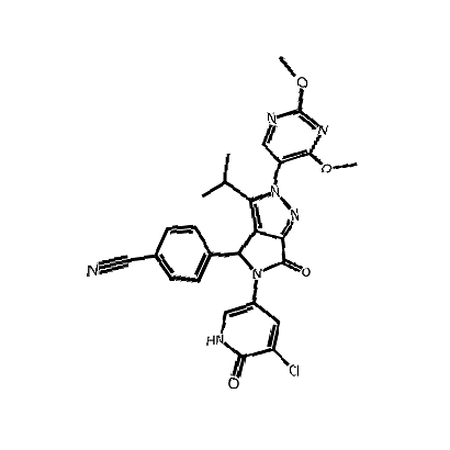 COc1ncc(-n2nc3c(c2C(C)C)C(c2ccc(C#N)cc2)N(c2c[nH]c(=O)c(Cl)c2)C3=O)c(OC)n1